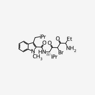 CCC(N)C(=O)C(Br)C(=O)[C@@H](NC(=O)c1c(CC(C)C)c2ccccc2n1C)C(C)C